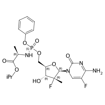 CC(C)OC(=O)[C@@H](C)N[P@](=O)(OC[C@H]1O[C@@H](n2cc(F)c(N)nc2=O)[C@](C)(F)[C@@H]1O)Oc1ccccc1